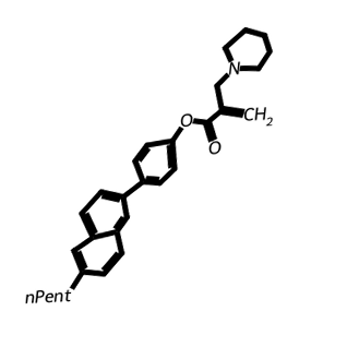 C=C(CN1CCCCC1)C(=O)Oc1ccc(-c2ccc3cc(CCCCC)ccc3c2)cc1